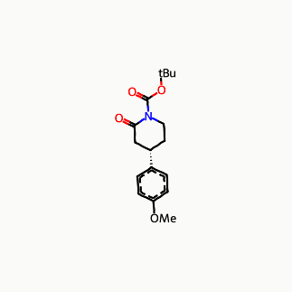 COc1ccc([C@H]2CCN(C(=O)OC(C)(C)C)C(=O)C2)cc1